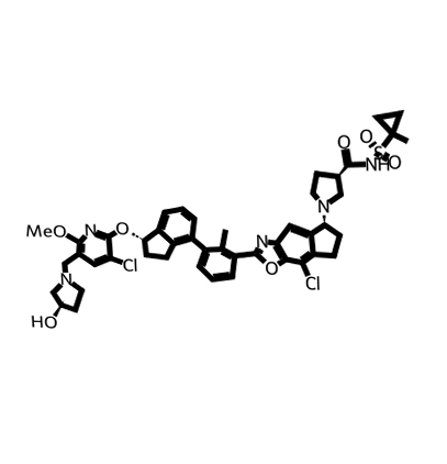 COc1nc(O[C@H]2CCc3c(-c4cccc(-c5nc6cc7c(c(Cl)c6o5)CC[C@H]7N5CC[C@@H](C(=O)NS(=O)(=O)C6(C)CC6)C5)c4C)cccc32)c(Cl)cc1CN1CC[C@@H](O)C1